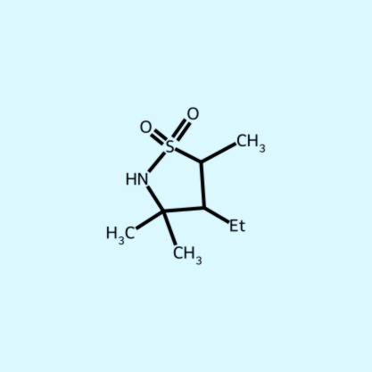 CCC1C(C)S(=O)(=O)NC1(C)C